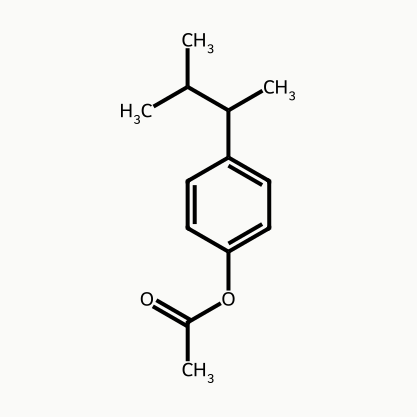 CC(=O)Oc1ccc(C(C)C(C)C)cc1